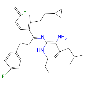 C=C(F)\C=C/C(=C(\C)CCC1CC1)C(/CCc1ccc(F)cc1)=N/C(NCCC)=C(\N)C(=C)CC(C)C